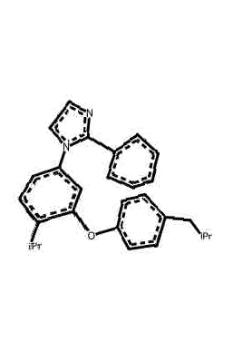 CC(C)Cc1ccc(Oc2cc(-n3ccnc3-c3ccccc3)ccc2C(C)C)cc1